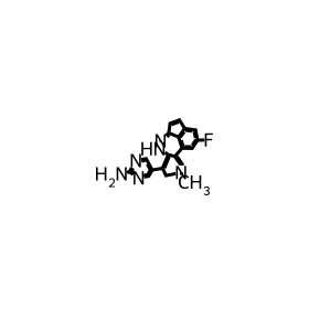 CN1C=C2C(=C(c3cnc(N)nc3)C1)NN=C1C=Cc3cc(F)cc2c31